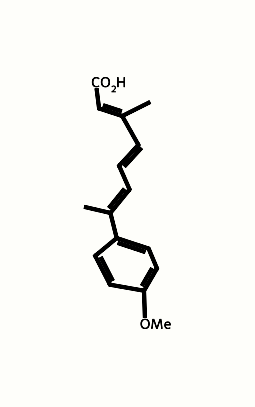 COc1ccc(/C(C)=C/C=C/C(C)=CC(=O)O)cc1